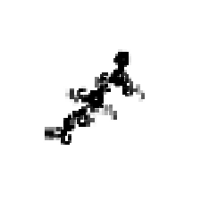 CCc1cc(-c2noc(-c3cc(OC)nc(C4CCCC4)c3)n2)cc(C)c1OCC(O)CN1CC(C(=O)O)C1